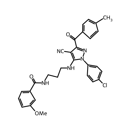 COc1cccc(C(=O)NCCCNc2c(C#N)c(C(=O)c3ccc(C)cc3)nn2-c2ccc(Cl)cc2)c1